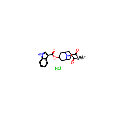 COC(=O)CN1C2CC(OC(=O)c3c[nH]c4ccccc34)CC1CC(C(=O)OC)C2.Cl